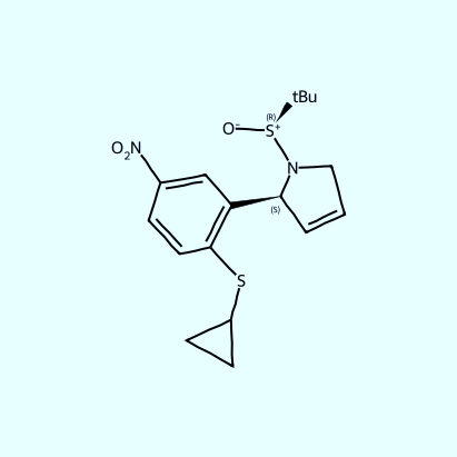 CC(C)(C)[S@+]([O-])N1CC=C[C@H]1c1cc([N+](=O)[O-])ccc1SC1CC1